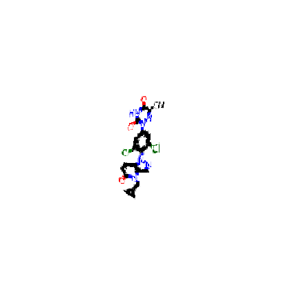 N#Cc1nn(-c2cc(Cl)c(-n3ncc4c3ccc(=O)n4CC3CC3)c(Cl)c2)c(=O)[nH]c1=O